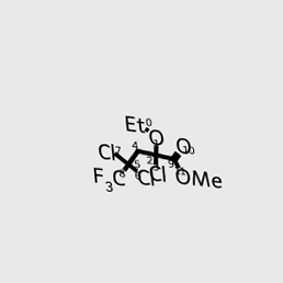 CCOC(Cl)(CC(Cl)(Cl)C(F)(F)F)C(=O)OC